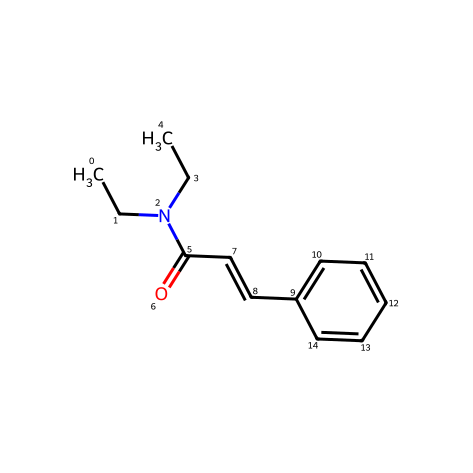 CCN(CC)C(=O)C=Cc1ccccc1